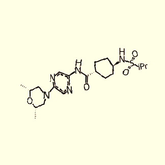 CC(C)S(=O)(=O)N[C@H]1CC[C@H](C(=O)Nc2cnc(N3C[C@@H](C)O[C@@H](C)C3)cn2)CC1